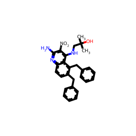 CC(C)(O)CNc1c([N+](=O)[O-])c(N)nc2ccc(Cc3ccccc3)c(Cc3ccccc3)c12